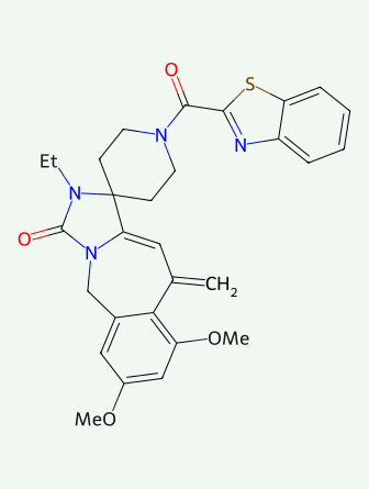 C=C1C=C2N(Cc3cc(OC)cc(OC)c31)C(=O)N(CC)C21CCN(C(=O)c2nc3ccccc3s2)CC1